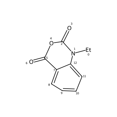 CCn1c(=O)oc(=O)c2ccccc21